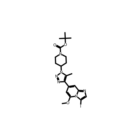 COc1cc(-c2nnn(C3CCN(C(=O)OC(C)(C)C)CC3)c2C)cc2ncc(I)n12